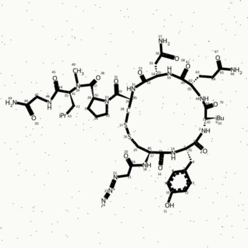 CC[C@H](C)[C@@H]1NC(=O)[C@H](Cc2ccc(O)cc2)NC(=O)[C@@H](NC(=O)CN=[N+]=[N-])CSSC[C@@H](C(=O)N2CCC[C@H]2C(=O)N(C)[C@@H](CC(C)C)C(=O)NCC(N)=O)NC(=O)[C@H](CC(N)=O)NC(=O)[C@H](CCC(N)=O)NC1=O